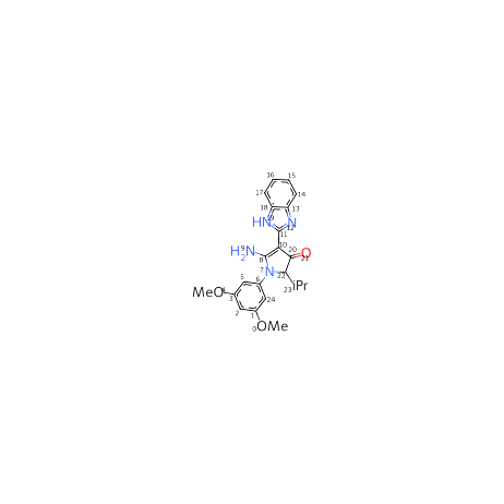 COc1cc(OC)cc(N2C(N)=C(c3nc4ccccc4[nH]3)C(=O)C2C(C)C)c1